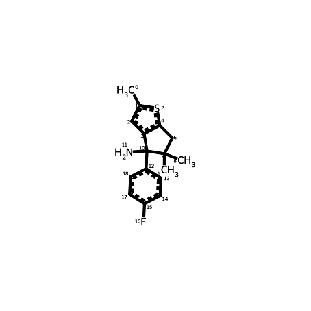 Cc1cc2c(s1)CC(C)(C)C2(N)c1ccc(F)cc1